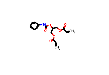 C=CC(=O)OCC(COC(=O)C=C)OC(=O)Nc1ccccc1